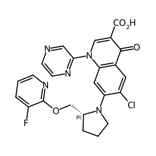 O=C(O)c1cn(-c2cnccn2)c2cc(N3CCC[C@@H]3COc3ncccc3F)c(Cl)cc2c1=O